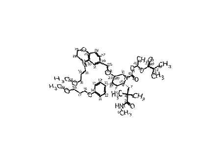 CNC(=O)C(C)(C)C[C@@H]1C[C@H](c2ccc(OCCCOC)cc2)[C@@H](OCc2ccc3c(c2)N(CCCOC)CCO3)CN1C(=O)OC(C)OC(=O)C(C)C